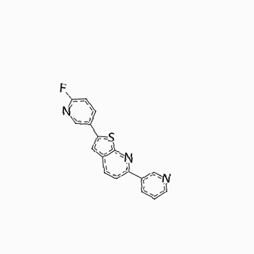 Fc1ccc(-c2cc3ccc(-c4cccnc4)nc3s2)cn1